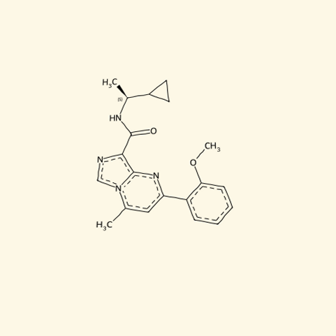 COc1ccccc1-c1cc(C)n2cnc(C(=O)N[C@@H](C)C3CC3)c2n1